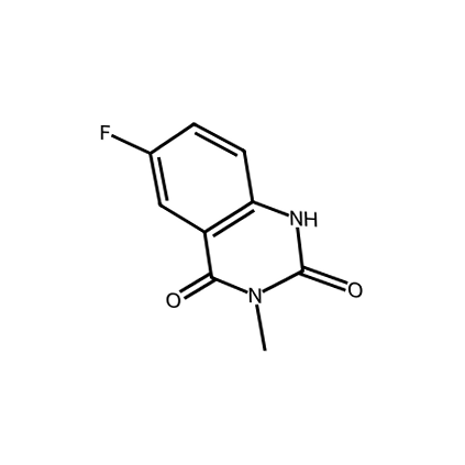 Cn1c(=O)[nH]c2ccc(F)cc2c1=O